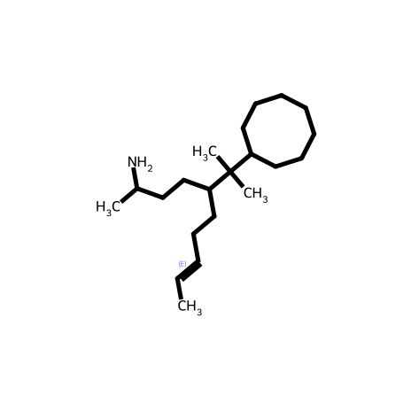 C/C=C/CCC(CCC(C)N)C(C)(C)C1CCCCCCC1